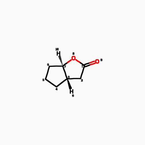 O=C1C[C@@H]2CCC[C@H]2O1